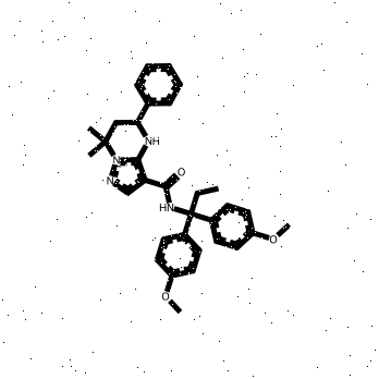 CCC(NC(=O)c1cnn2c1NC(c1ccccc1)CC2(C)C)(c1ccc(OC)cc1)c1ccc(OC)cc1